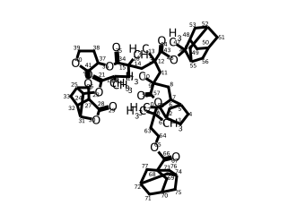 CC1C2CCC(C2)C1CC(C)(CC(C)(CC(C)(CC(C)(C)C(=O)OC1C2CC3C(=O)OC1C3C2)C(=O)OC1CCOC1=O)C(=O)OC1(C)C2CC3CC(C2)CC1C3)C(=O)OC(C)(C)CCOC(=O)C12CC3CC(CC(C3)C1)C2